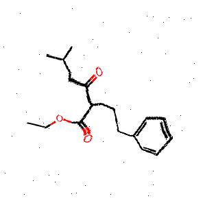 CCOC(=O)C(CCc1ccccc1)C(=O)CC(C)C